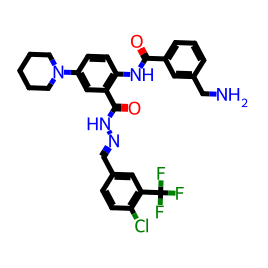 NCc1cccc(C(=O)Nc2ccc(N3CCCCC3)cc2C(=O)N/N=C/c2ccc(Cl)c(C(F)(F)F)c2)c1